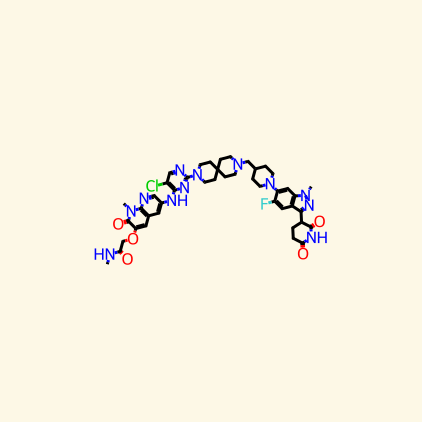 CNC(=O)COc1cc2cc(Nc3nc(N4CCC5(CCN(CC6CCN(c7cc8c(cc7F)c(C7CCC(=O)NC7=O)nn8C)CC6)CC5)CC4)ncc3Cl)cnc2n(C)c1=O